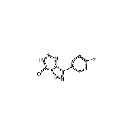 O=c1[nH]nnc2c(-c3ccc(Br)cc3)nsc12